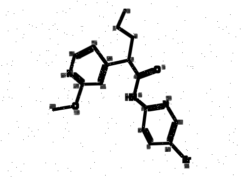 CCCC(C(=O)Nc1ccc(Br)cn1)c1ccnc(OC)c1